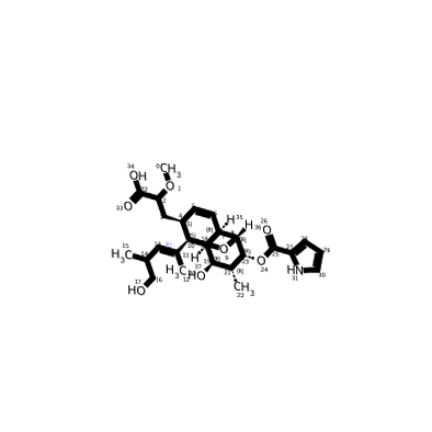 COC(C[C@H]1C=C[C@H]2[C@H]3O[C@]1(/C(C)=C/C(C)CO)[C@@H]2[C@H](O)[C@@H](C)[C@H]3OC(=O)c1ccc[nH]1)C(=O)O